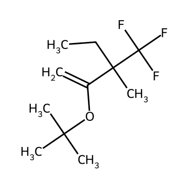 C=C(OC(C)(C)C)C(C)(CC)C(F)(F)F